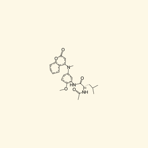 COc1ccc(N(C)c2cc(=O)oc3ccccc23)cc1NC(=O)[C@H](CC(C)C)NC(C)=O